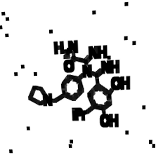 CC(C)c1cc(C(=N)N(C(=N)C(N)=O)c2ccc(CN3CCCC3)cc2)c(O)cc1O